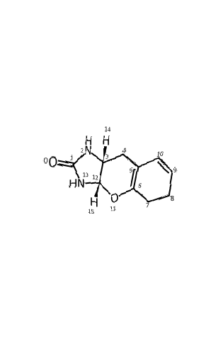 O=C1N[C@@H]2CC3=C(CCC=C3)O[C@@H]2N1